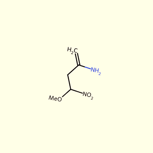 C=C(N)CC(OC)[N+](=O)[O-]